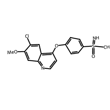 COc1cc2nccc(Oc3ccc(S(C)(=N)=O)cc3)c2cc1Cl